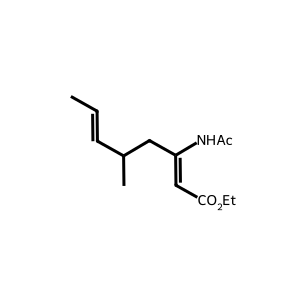 C/C=C/C(C)CC(=CC(=O)OCC)NC(C)=O